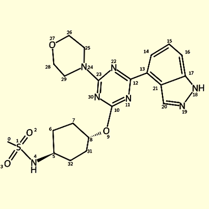 CS(=O)(=O)N[C@H]1CC[C@H](Oc2nc(-c3cccc4[nH]ncc34)nc(N3CCOCC3)n2)CC1